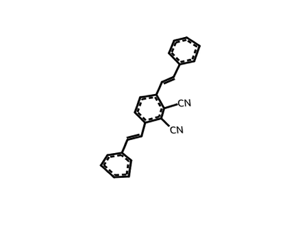 N#Cc1c(C=Cc2ccccc2)ccc(C=Cc2ccccc2)c1C#N